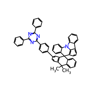 CC1(C)c2ccccc2C2(c3ccccc3-n3c4ccccc4c4cccc2c43)c2cc(-c3ccc(-c4nc(-c5ccccc5)nc(-c5ccccc5)n4)cc3)ccc21